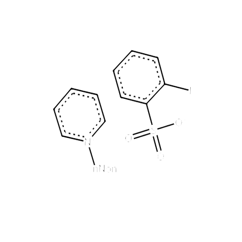 CCCCCCCCC[n+]1ccccc1.O=S(=O)([O-])c1ccccc1I